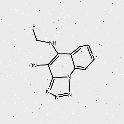 CC(C)CNc1c(N=O)c2nnnn2c2ccccc12